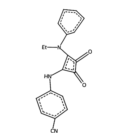 CCN(c1ccccc1)c1c(Nc2ccc(C#N)cc2)c(=O)c1=O